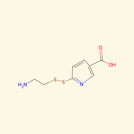 NCCSSc1ccc(C(=O)O)cn1